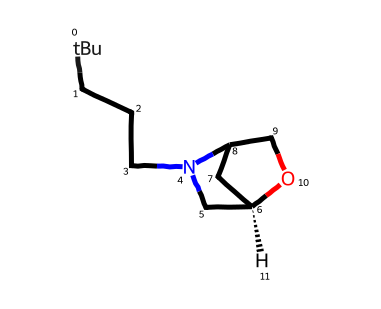 CC(C)(C)CCCN1C[C@H]2CC1CO2